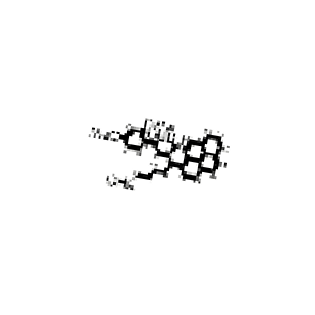 COc1ccc(C(CC(CC=O)C(CCCCC=O)c2ccc3ccc4cccc5ccc2c3c45)C(=O)O)c(OC)c1